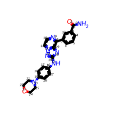 NC(=O)c1cccc(-c2nccn3nc(Nc4ccc(N5CCOCC5)cc4)nc23)c1